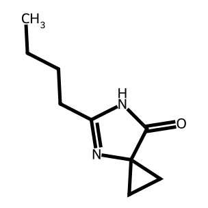 CCCCC1=NC2(CC2)C(=O)N1